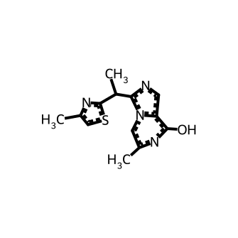 Cc1csc(C(C)c2ncc3c(O)nc(C)cn23)n1